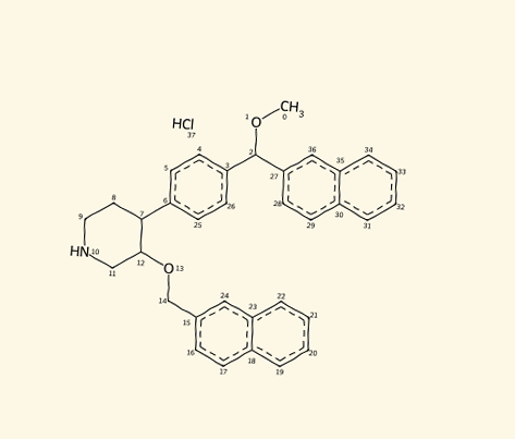 COC(c1ccc(C2CCNCC2OCc2ccc3ccccc3c2)cc1)c1ccc2ccccc2c1.Cl